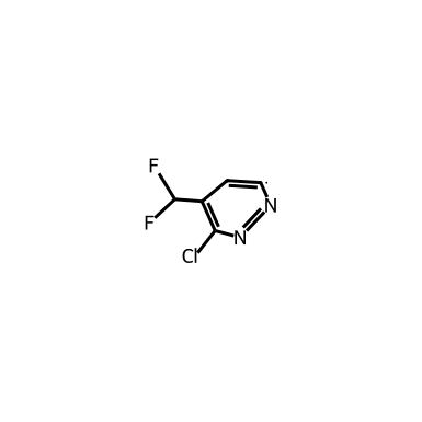 FC(F)c1c[c]nnc1Cl